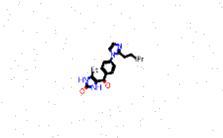 CCc1[nH]c(=O)[nH]c1C(=O)c1ccc(-n2ccnc2CCC(C)C)cc1